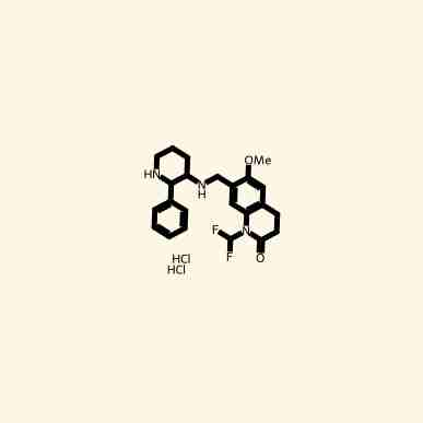 COc1cc2c(cc1CNC1CCCNC1c1ccccc1)N(C(F)F)C(=O)CC2.Cl.Cl